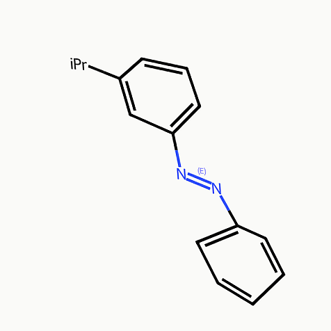 CC(C)c1cccc(/N=N/c2ccccc2)c1